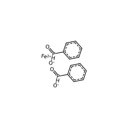 O=[PH]([O-])c1ccccc1.O=[PH]([O-])c1ccccc1.[Fe+2]